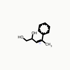 C/C(=C/C(O)CO)c1ccccc1